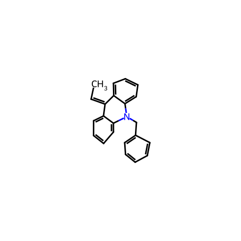 CC=C1c2ccccc2N(Cc2ccccc2)c2ccccc21